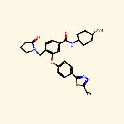 COC1CCC(NC(=O)c2ccc(CN3CCCC3=O)c(Oc3ccc(-c4nnc(C(C)C)s4)cc3)c2)CC1